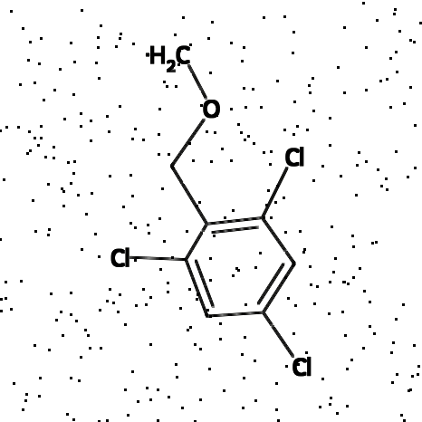 [CH2]OCc1c(Cl)cc(Cl)cc1Cl